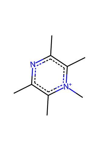 Cc1nc(C)c(C)[n+](C)c1C